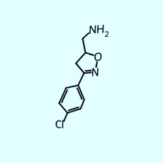 NCC1CC(c2ccc(Cl)cc2)=NO1